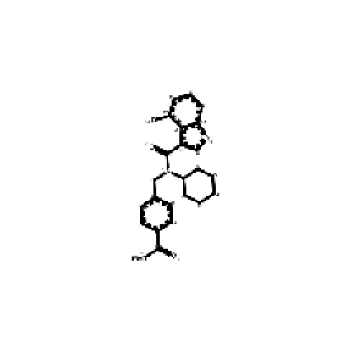 CNC(=O)c1ccc(CN(C(=O)c2c[nH]c3cccc(F)c23)C2CCCCC2)cc1